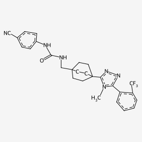 Cn1c(-c2ccccc2C(F)(F)F)nnc1C12CCC(CNC(=O)Nc3ccc(C#N)cc3)(CC1)CC2